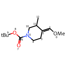 CO/C=C1\CCN(C(=O)OC(C)(C)C)CC1C